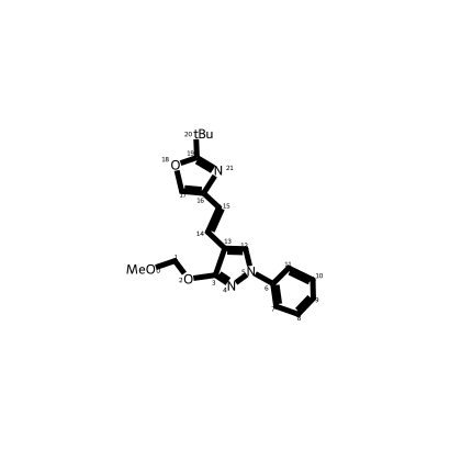 COCOc1nn(-c2ccccc2)cc1C=Cc1coc(C(C)(C)C)n1